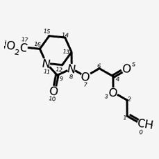 C=CCOC(=O)CON1C(=O)N2CC1CCC2C(=O)O